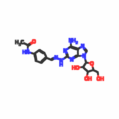 CC(=O)Nc1ccc(/C=N/Nc2nc(N)c3ncn(C4OC(CO)C(O)C4O)c3n2)cc1